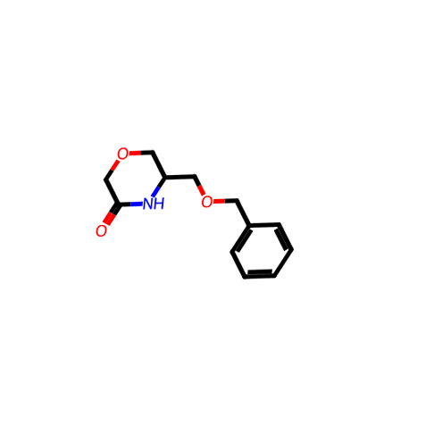 O=C1COCC(COCc2ccccc2)N1